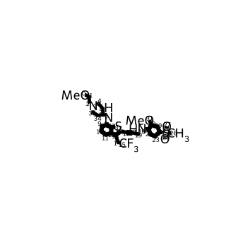 COCCN1CCC(Nc2cccc3c(CC(F)(F)F)c(C#CCNc4ccc(S(C)(=O)=O)cc4OC)sc23)CC1